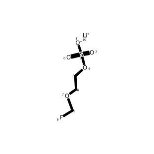 O=S(=O)([O-])OCCOCF.[Li+]